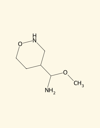 COC(N)C1CCONC1